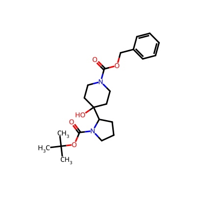 CC(C)(C)OC(=O)N1CCCC1C1(O)CCN(C(=O)OCc2ccccc2)CC1